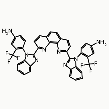 Nc1ccc(-n2c(-c3ccc4ccc5ccc(-c6nc7ccccc7n6-c6ccc(N)cc6C(F)(F)F)nc5c4n3)nc3ccccc32)c(C(F)(F)F)c1